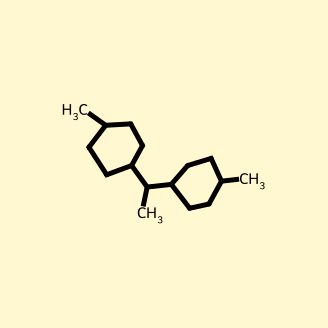 CC1CCC(C(C)C2CCC(C)CC2)CC1